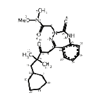 CON(C)C(=O)CN1N=C(CC(=O)C(C)(C)CC2CCCCC2)c2ccccc2NC1=O